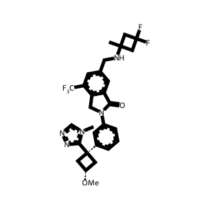 CO[C@H]1C[C@](c2cccc(N3Cc4c(cc(CNC5(C)CC(F)(F)C5)cc4C(F)(F)F)C3=O)c2)(c2nncn2C)C1